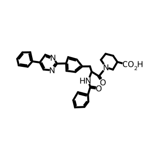 O=C(NC(Cc1ccc(-c2ncc(-c3ccccc3)cn2)cc1)C(=O)N1CCCC(C(=O)O)C1)c1ccccc1